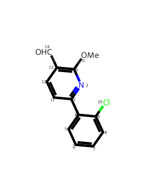 COc1nc(-c2c[c]ccc2Cl)ccc1C=O